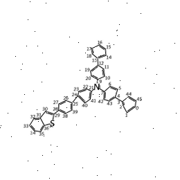 c1ccc(-c2ccc(N(c3ccc(-c4ccccc4)cc3)c3ccc(-c4ccc(-c5cc6ccccc6s5)cc4)cc3)cc2)cc1